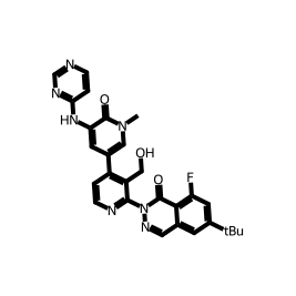 Cn1cc(-c2ccnc(-n3ncc4cc(C(C)(C)C)cc(F)c4c3=O)c2CO)cc(Nc2ccncn2)c1=O